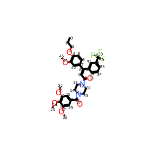 CCCOc1ccc(C(=CC(=O)N2CCN(C(=O)c3cc(OC)c(OC)c(OC)c3)CC2)c2cccc(C(F)(F)F)c2)cc1OC